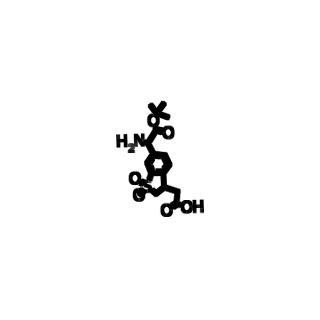 CC(C)(C)OC(=O)C(N)c1ccc2c(c1)S(=O)(=O)CC2CC(=O)O